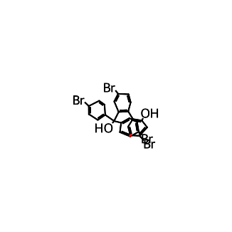 Oc1cc(Br)ccc1-c1ccc(Br)cc1C(O)(c1ccc(Br)cc1)c1ccc(Br)cc1